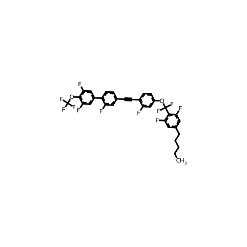 CCCCCc1cc(F)c(C(F)(F)Oc2ccc(C#Cc3ccc(-c4cc(F)c(OC(F)(F)F)c(F)c4)c(F)c3)c(F)c2)c(F)c1